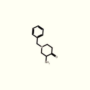 NC1CN(Cc2ccccc2)CCC1=O